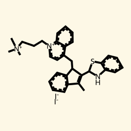 CC1=C(C2Nc3ccccc3S2)C(Cc2cc[n+](CCC[N+](C)(C)C)c3ccccc23)c2ccccc21.[I-].[I-]